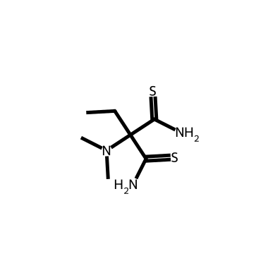 CCC(C(N)=S)(C(N)=S)N(C)C